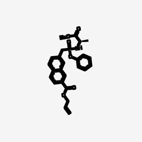 C=CCOC(=O)c1ccc2ccc(CP(=O)(N[C@@H](C)C(=O)OCC(C)C)Oc3ccccc3)cc2c1